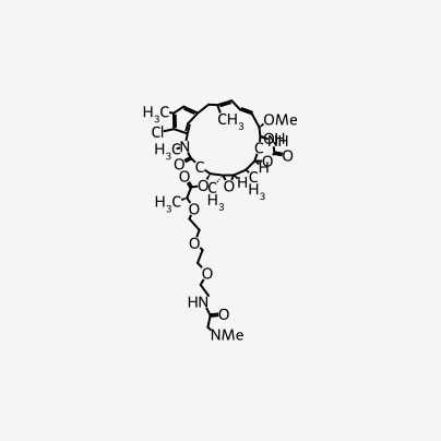 CNCC(=O)NCCOCCOCCO[C@@H](C)C(=O)O[C@H]1CC(=O)N(C)c2cc(cc(C)c2Cl)C/C(C)=C/C=C/[C@@H](OC)[C@@]2(O)C[C@H](OC(=O)N2)[C@@H](C)[C@@H]2O[C@@]12C